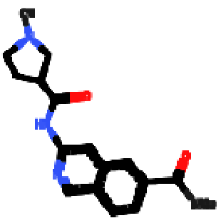 CNC(=O)c1ccc2cnc(NC(=O)C3CCN(C#N)C3)cc2c1